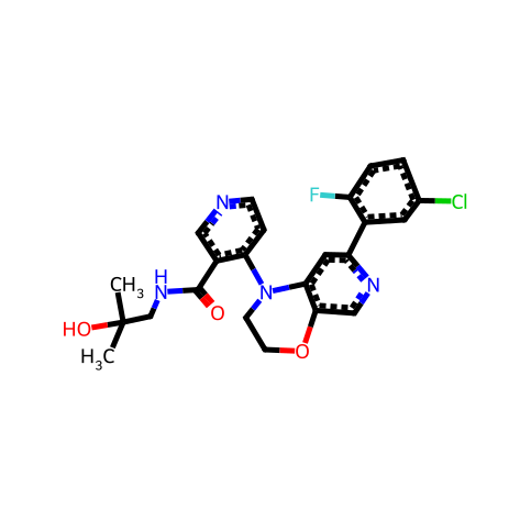 CC(C)(O)CNC(=O)c1cnccc1N1CCOc2cnc(-c3cc(Cl)ccc3F)cc21